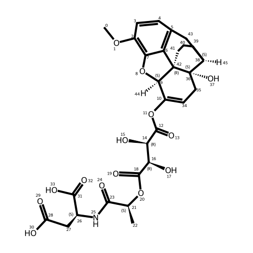 COc1ccc2c3c1O[C@@H]1C(OC(=O)[C@H](O)[C@@H](O)C(=O)O[C@@H](C)C(=O)N[C@@H](CC(=O)O)C(=O)O)=CC[C@]4(O)[C@@H](CCC[C@@]314)C2